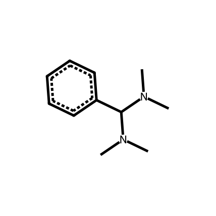 CN(C)C(c1ccccc1)N(C)C